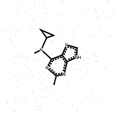 Cc1nc(N(C)C2CC2)c2nc[nH]c2n1